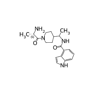 CC(NC(=O)c1cccc2[nH]ccc12)C1CCN(C(=O)[C@H](C)N)CC1